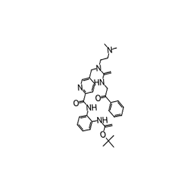 C=C(Nc1ccccc1NC(=O)c1ccc(CN(CCN(C)C)C(=C)NCC(=O)c2ccccc2)cn1)OC(C)(C)C